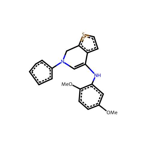 COc1ccc(OC)c(NC2=CN(c3ccccc3)Cc3sccc32)c1